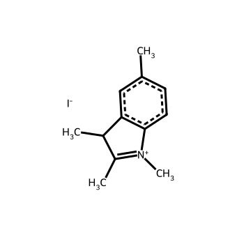 CC1=[N+](C)c2ccc(C)cc2C1C.[I-]